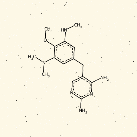 CNc1cc(Cc2cnc(N)nc2N)cc(N(C)C)c1OC